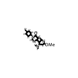 COc1cc(N(C)C)c2c(n1)sc1c(=O)n(-c3ccc(C)cc3)cnc12